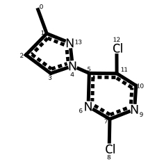 Cc1ccn(-c2nc(Cl)ncc2Cl)n1